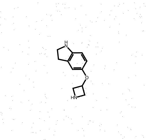 c1cc2c(cc1OC1CNC1)CCN2